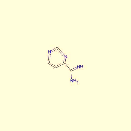 N=C(N)c1ccncn1